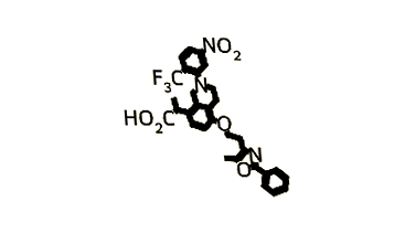 Cc1oc(-c2ccccc2)nc1CCOc1ccc(C(C)C(=O)O)c2c1CCN(c1cc([N+](=O)[O-])ccc1C(F)(F)F)C2